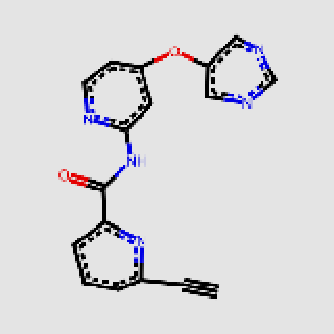 C#Cc1cccc(C(=O)Nc2cc(Oc3cncnc3)ccn2)n1